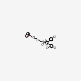 Cc1c(C(=O)NCCOCCOCCC23CC4CC(CC(C4)C2)C3)nn(-c2ccc(Cl)cc2Cl)c1-c1ccc(Cl)cc1